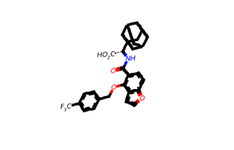 O=C(N[C@H](C(=O)O)C12CC3CC(CC(C3)C1)C2)c1ccc2occc2c1OCc1ccc(C(F)(F)F)cc1